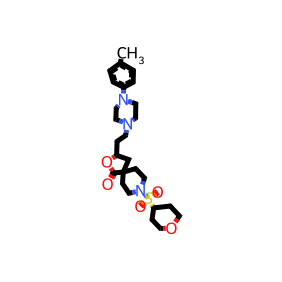 Cc1ccc(N2CCN(CCC3CC4(CCN(S(=O)(=O)C5CCOCC5)CC4)C(=O)O3)CC2)cc1